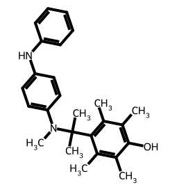 Cc1c(C)c(C(C)(C)N(C)c2ccc(Nc3ccccc3)cc2)c(C)c(C)c1O